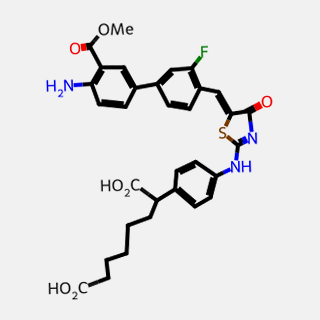 COC(=O)c1cc(-c2ccc(/C=C3\SC(Nc4ccc(C(CCCCCC(=O)O)C(=O)O)cc4)=NC3=O)c(F)c2)ccc1N